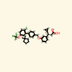 CC1(C)CCC[C@H]1c1cc(COc2cccc([C@H](CC(=O)O)C3CC3)c2)ccc1-c1cc(OC(F)(F)F)ccc1F